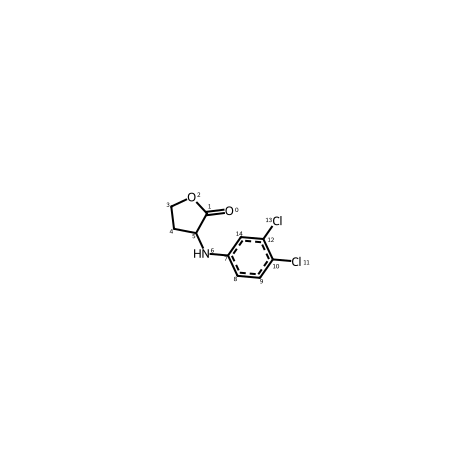 O=C1OCCC1Nc1ccc(Cl)c(Cl)c1